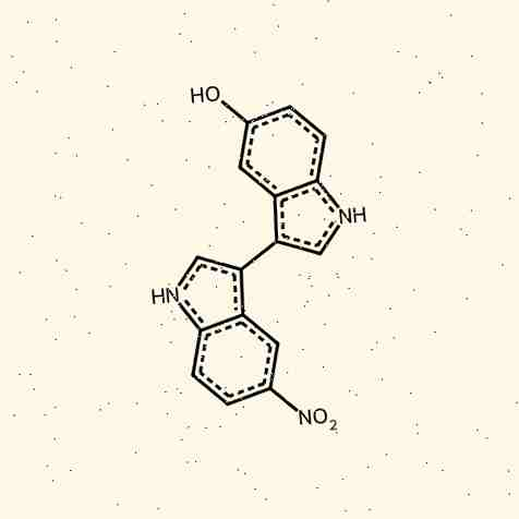 O=[N+]([O-])c1ccc2[nH]cc(-c3c[nH]c4ccc(O)cc34)c2c1